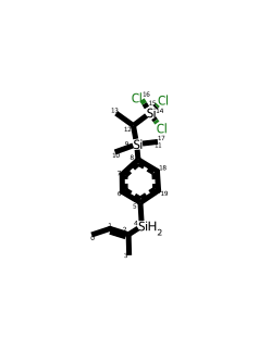 CC=C(C)[SiH2]c1ccc([Si](C)(C)C(C)[Si](Cl)(Cl)Cl)cc1